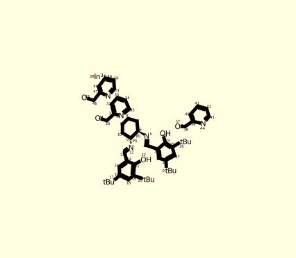 CC(C)(C)c1cc(C=N[C@@H]2CCCC[C@H]2N=Cc2cc(C(C)(C)C)cc(C(C)(C)C)c2O)c(O)c(C(C)(C)C)c1.[In+3].[O-]Cc1ccccn1.[O-]Cc1ccccn1.[O-]Cc1ccccn1